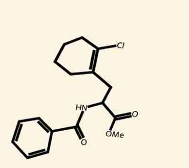 COC(=O)C(CC1=C(Cl)CCCC1)NC(=O)c1ccccc1